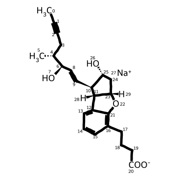 CC#CC[C@@H](C)[C@H](O)/C=C/[C@@H]1[C@H]2c3cccc(CCCC(=O)[O-])c3O[C@H]2C[C@H]1O.[Na+]